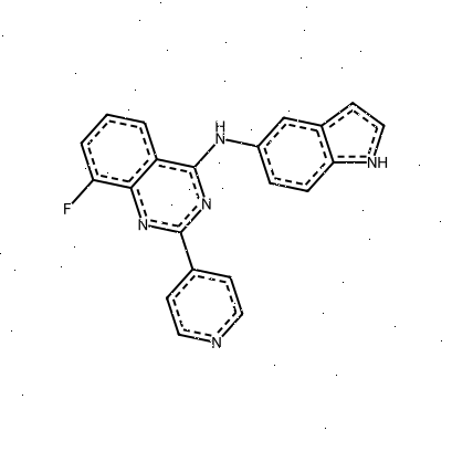 Fc1cccc2c(Nc3ccc4[nH]ccc4c3)nc(-c3ccncc3)nc12